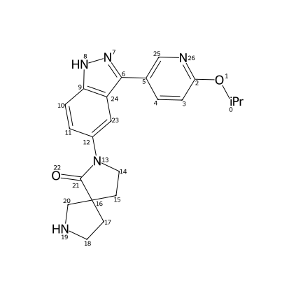 CC(C)Oc1ccc(-c2n[nH]c3ccc(N4CCC5(CCNC5)C4=O)cc23)cn1